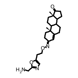 C[C@]12CCC(=NOCCc3cnc(CN)o3)C=C1CCC1C2CC[C@]2(C)C(=O)CCC12